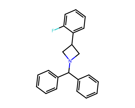 Fc1ccccc1C1CN(C(c2ccccc2)c2ccccc2)C1